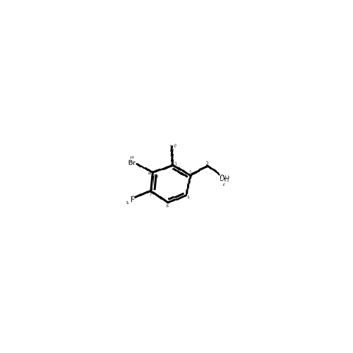 Cc1c(CO)ccc(F)c1Br